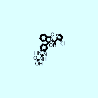 CC(c1sccc1Cl)N1C(=O)c2ccccc2C1(O)c1ccc2[nH]c(NC(=O)O)nc2c1